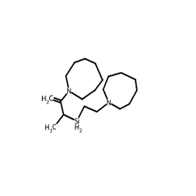 C=C(C(C)[SiH2]CCN1CCCCCCC1)N1CCCCCCC1